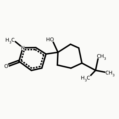 Cn1cc(C2(O)CCC(C(C)(C)C)CC2)ccc1=O